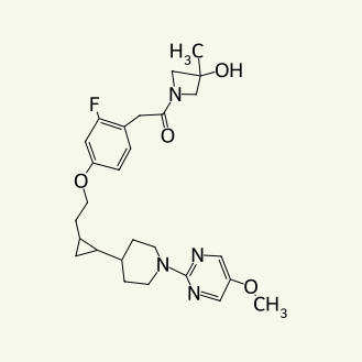 COc1cnc(N2CCC(C3CC3CCOc3ccc(CC(=O)N4CC(C)(O)C4)c(F)c3)CC2)nc1